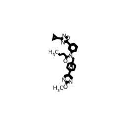 CCCC(=O)N(CC12CCC(c3cnc(OC)nc3)(CC1)OC2)c1cccc(-c2nc(C3CC3)no2)c1